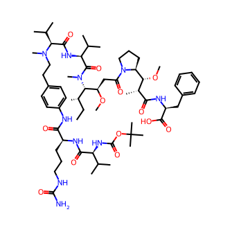 CC[C@H](C)[C@@H]([C@@H](CC(=O)N1CCC[C@H]1[C@H](OC)[C@@H](C)C(=O)N[C@@H](Cc1ccccc1)C(=O)O)OC)N(C)C(=O)[C@@H](NC(=O)[C@H](C(C)C)N(C)CCc1ccc(NC(=O)[C@H](CCCNC(N)=O)NC(=O)[C@@H](NC(=O)OC(C)(C)C)C(C)C)cc1)C(C)C